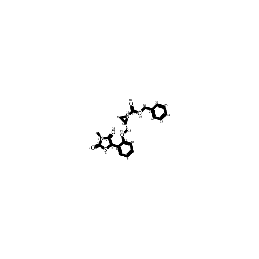 CN1C(=O)SC(c2ccccc2OC[C@@H]2CN2C(=O)OCc2ccccc2)C1=O